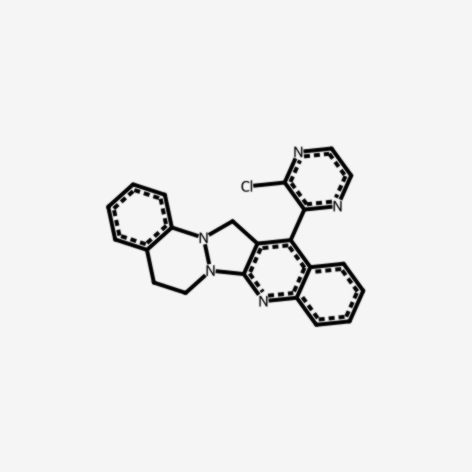 Clc1nccnc1-c1c2c(nc3ccccc13)N1CCc3ccccc3N1C2